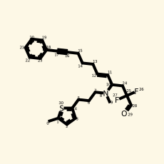 Cc1ccc(CCCN(C)C(/C=C/CCCC#Cc2ccccc2)CC(F)(F)C=O)s1